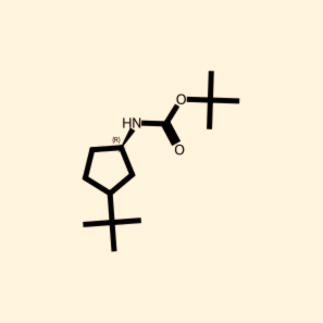 CC(C)(C)OC(=O)N[C@@H]1CCC(C(C)(C)C)C1